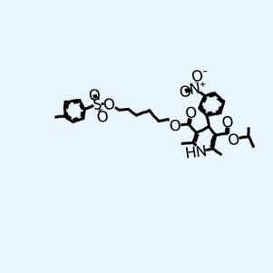 CC1=C(C(=O)OCCCCCCOS(=O)(=O)c2ccc(C)cc2)C(c2cccc([N+](=O)[O-])c2)C(C(=O)OC(C)C)=C(C)N1